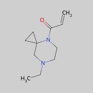 C=CC(=O)N1CCN(CC)CC12CC2